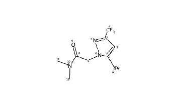 CC(C)c1cc(C(F)(F)F)nn1CC(=O)N(C)C